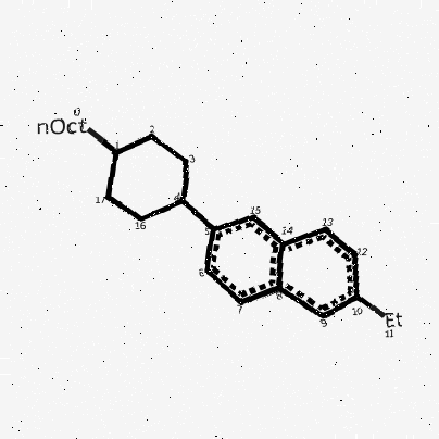 CCCCCCCCC1CCC(c2ccc3cc(CC)ccc3c2)CC1